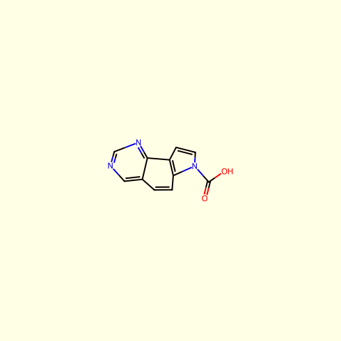 O=C(O)n1ccc2c3ncncc3ccc21